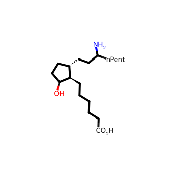 CCCCCC(N)CC[C@H]1CC[C@H](O)[C@@H]1CCCCCC(=O)O